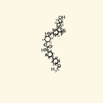 COc1ncc(-c2ccc(NC(=O)O[C@H]3CC[C@H](Nc4ncc(C(F)(F)F)c(N5CC(F)(CO)C5)n4)CC3)nc2)cn1